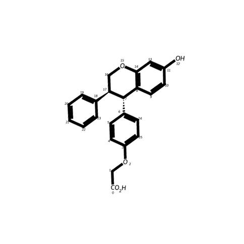 O=C(O)COc1ccc([C@H]2c3ccc(O)cc3OC[C@@H]2c2ccccc2)cc1